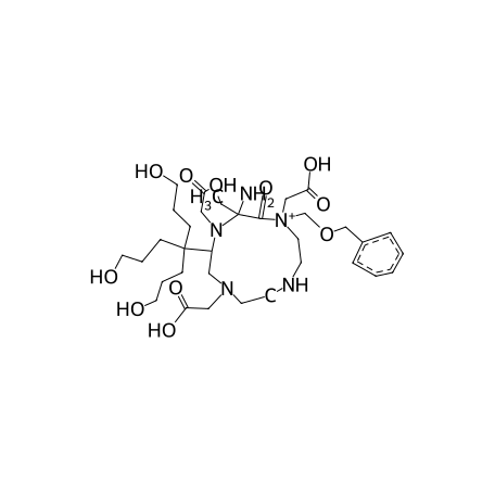 CCC1(N)C(=O)[N+](COCc2ccccc2)(CC(=O)O)CCNCCN(CC(=O)O)CC(C(CCCO)(CCCO)CCCO)N1CC(=O)O